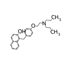 CCCN(CCC)CCOc1ccc(Cc2c(O)ccc3ccccc23)cc1